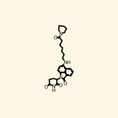 O=C1CCC(N2C(=O)c3cccc4c(NCCCCCCC(=O)N5CCCCC5)ccc2c34)C(=O)N1